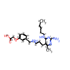 CCCCCNc1nc(N)nc(C)c1CCCNCc1cccc(OCC(=O)O)c1